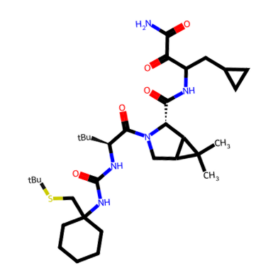 CC(C)(C)SCC1(NC(=O)N[C@H](C(=O)N2CC3C([C@H]2C(=O)NC(CC2CC2)C(=O)C(N)=O)C3(C)C)C(C)(C)C)CCCCC1